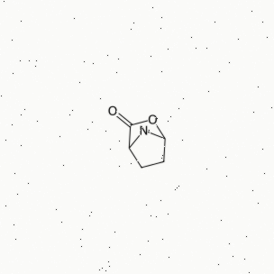 O=C1OC2CCC1[N]2